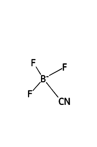 N#C[B-](F)(F)F